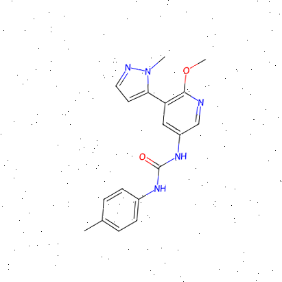 COc1ncc(NC(=O)Nc2ccc(C)cc2)cc1-c1ccnn1C